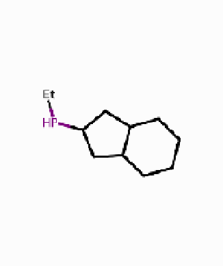 CCPC1CC2CCCCC2C1